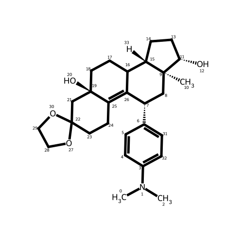 CN(C)c1ccc([C@H]2C[C@]3(C)[C@@H](O)CC[C@H]3C3CC[C@@]4(O)CC5(CCC4=C32)OCCO5)cc1